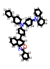 C1=Cc2c(c3ccccc3n2-c2ccc(N(c3ccc(-c4ccccc4)cc3)c3ccc(-c4cc5oc(-c6ccccc6)nc5c5ccccc45)cc3)cc2)CC1